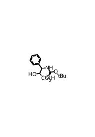 CC(C)(C)OC(=O)N[C@H](c1ccccc1)[C@H](O)C(=O)O